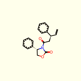 C=C[C@@H](CC(=O)N1C(=O)OC[C@@H]1c1ccccc1)c1ccccc1